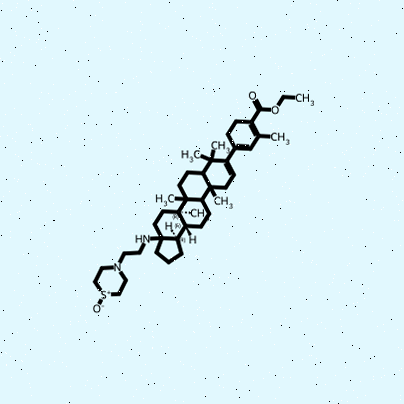 CCOC(=O)C1=C(C)C=C(C2=CCC3(C)C(CCC4(C)C3CC[C@@H]3[C@H]5CCCC5(NCCN5CC[S+]([O-])CC5)CC[C@]34C)C2(C)C)CC1